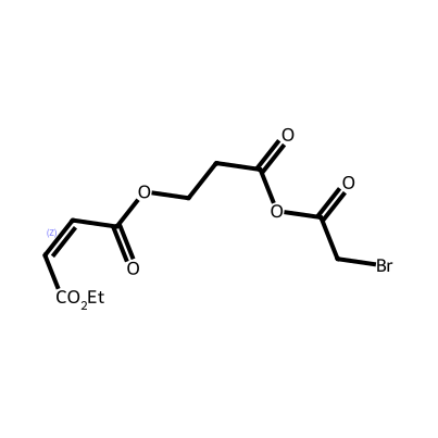 CCOC(=O)/C=C\C(=O)OCCC(=O)OC(=O)CBr